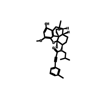 COc1cc(O)c2c3c1O[C@H]1[C@H](N(CC(C)C)C(=O)C#Cc4cccc(C)c4)CC[C@H]4[C@@H](C2)N(C)CC[C@@]341